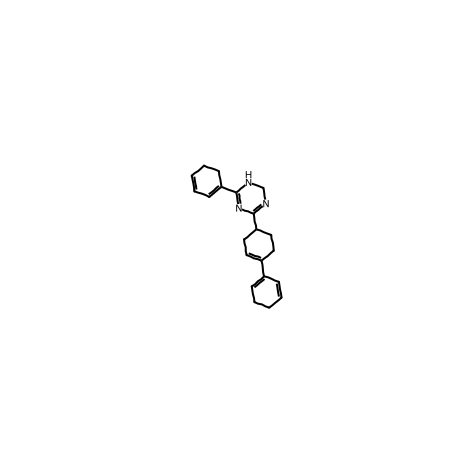 C1=CCCC(C2=NC(C3CC=C(C4=CCCC=C4)CC3)=NCN2)=C1